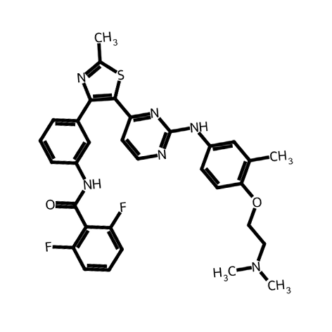 Cc1nc(-c2cccc(NC(=O)c3c(F)cccc3F)c2)c(-c2ccnc(Nc3ccc(OCCN(C)C)c(C)c3)n2)s1